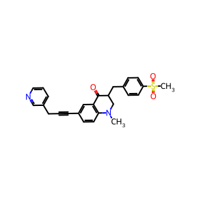 CN1CC(Cc2ccc(S(C)(=O)=O)cc2)C(=O)c2cc(C#CCc3cccnc3)ccc21